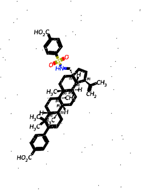 C=C(C)[C@@H]1CC[C@]2(CNS(=O)(=O)c3ccc(C(=O)O)cc3)CC[C@]3(C)[C@H](CC[C@@H]4[C@@]5(C)CC=C(c6ccc(C(=O)O)cc6)C(C)(C)[C@@H]5CC[C@]43C)[C@@H]12